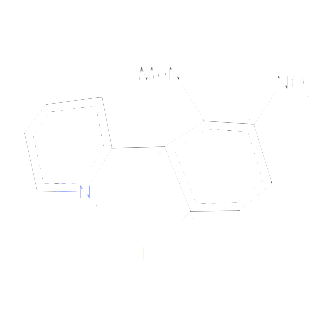 CNc1c([N+](=O)[O-])ccc(F)c1-c1ccccn1